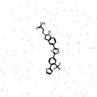 O=C(O)CC[C@@H]1Cc2cc(-c3noc(-c4ccc(-c5cccs5)c(C(F)(F)F)c4)n3)ccc2N1